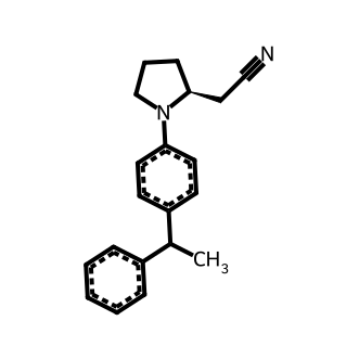 CC(c1ccccc1)c1ccc(N2CCC[C@H]2CC#N)cc1